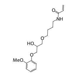 C=CC(=O)NCCCCOCC(O)COc1ccccc1OC